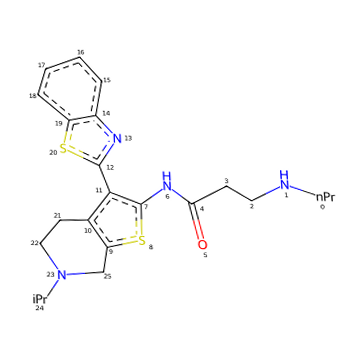 CCCNCCC(=O)Nc1sc2c(c1-c1nc3ccccc3s1)CCN(C(C)C)C2